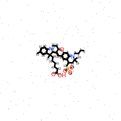 CCCCN1c2cc3c(cc2C(CS(=O)(=O)[O-])CC1(C)C)C=C1C2=[N+](CCC1O3)c1ccc(C)cc1C2(C)CCCCCC(=O)O